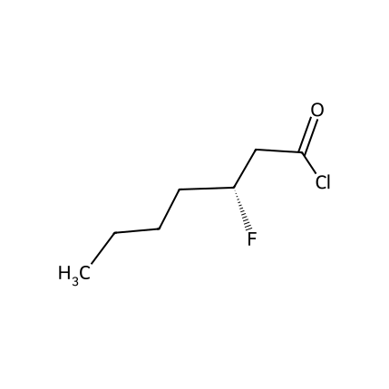 CCCC[C@@H](F)CC(=O)Cl